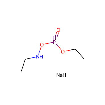 CCNO[PH](=O)OCC.[NaH]